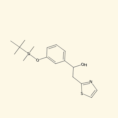 CC(C)(C)[Si](C)(C)Oc1cccc(C(O)Cc2nccs2)c1